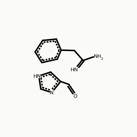 N=C(N)Cc1ccccc1.O=Cc1c[nH]cn1